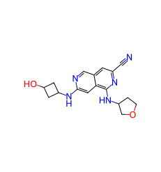 N#Cc1cc2cnc(NC3CC(O)C3)cc2c(NC2CCOC2)n1